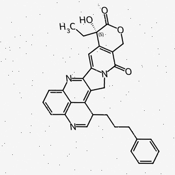 CC[C@@]1(O)C(=O)OCc2c1cc1n(c2=O)Cc2c-1nc1cccc3c1c2C(CCCc1ccccc1)C=N3